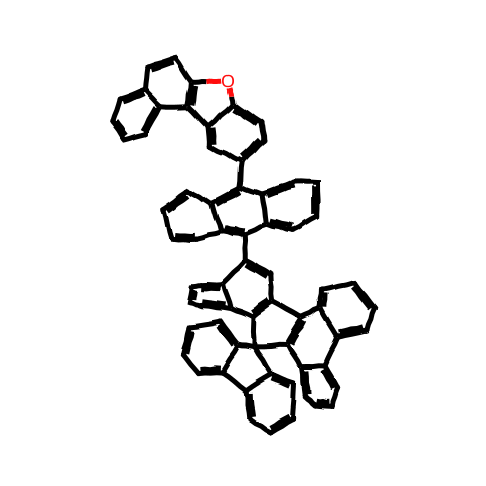 c1ccc2c(c1)-c1ccccc1C21c2c(cc(-c3c4ccccc4c(-c4ccc5oc6ccc7ccccc7c6c5c4)c4ccccc34)c3ccccc23)-c2c1c1ccccc1c1ccccc21